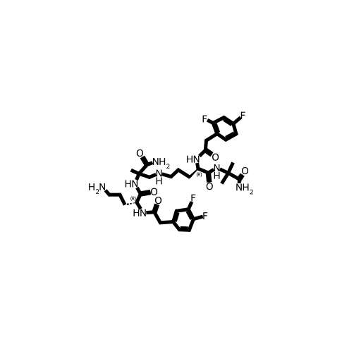 CC(C)(NC(=O)[C@@H](CCCNCC(C)(NC(=O)[C@@H](CCCN)NC(=O)Cc1ccc(F)c(F)c1)C(N)=O)NC(=O)Cc1ccc(F)cc1F)C(N)=O